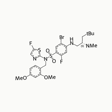 CN[C@H](CNc1cc(F)c(S(=O)(=O)N(Cc2ccc(OC)cc2OC)c2ncc(F)s2)cc1Br)CC(C)(C)C